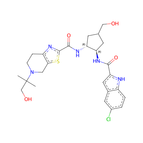 CC(C)(CO)N1CCc2nc(C(=O)N[C@@H]3CC(CO)C[C@H]3NC(=O)c3cc4cc(Cl)ccc4[nH]3)sc2C1